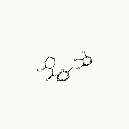 CC1CCCCN1C(=O)c1cccc(COc2cccc(Cl)c2Cl)n1